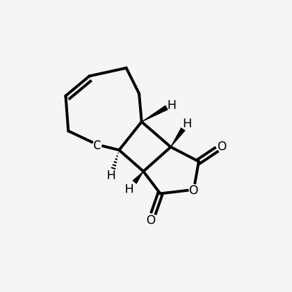 O=C1OC(=O)[C@H]2[C@H]3CC/C=C\CC[C@@H]3[C@@H]12